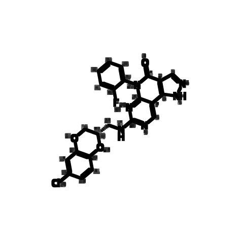 O=c1c2cn[nH]c2c2cnc(NC[C@H]3COc4cc(Cl)ccc4O3)nc2n1-c1ccccc1F